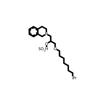 CC(C)CCCCCCCOCC(CN1CCc2ccccc2C1)OS(=O)(=O)O